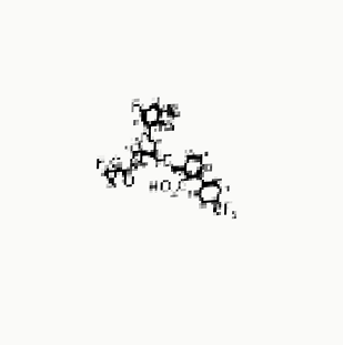 O=C(O)c1c(COCC2CN(c3cc(F)cc4ncsc34)CC23CN(C(=O)C2(C(F)(F)F)CC2)C3)cccc1C1CCC(C(F)(F)F)CC1